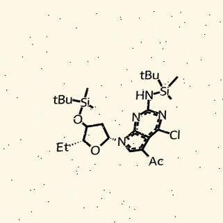 CC[C@H]1O[C@@H](n2cc(C(C)=O)c3c(Cl)nc(N[Si](C)(C)C(C)(C)C)nc32)CC1O[Si](C)(C)C(C)(C)C